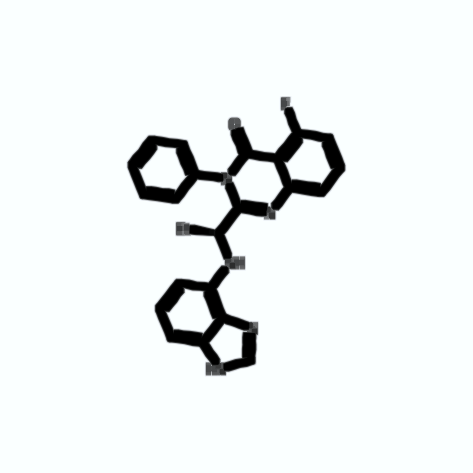 CC[C@H](Nc1cccc2[nH]cnc12)c1nc2cccc(F)c2c(=O)n1-c1ccccc1